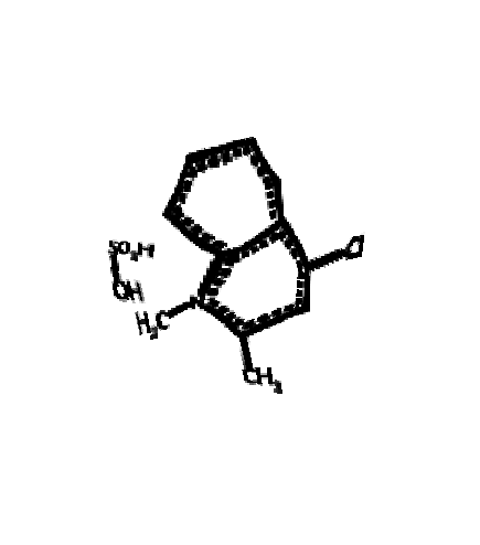 Cc1cc(Cl)c2ccccc2[n+]1C.O=S(=O)(O)O